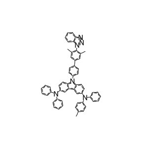 Cc1ccc(N(c2ccccc2)c2ccc3c(c2)c2cc(N(c4ccccc4)c4ccccc4)ccc2n3-c2ccc(-c3cc(C)c(-n4nnc5ccccc54)c(C)c3)cc2)cc1